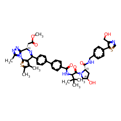 COC(=O)C[C@@H]1N=C(c2ccc(-c3ccc(C(=O)NC(C(=O)N4C[C@H](O)C[C@H]4C(=O)NCc4ccc(-c5scnc5CO)cc4)C(C)(C)C)cc3)cc2)c2c(sc(C)c2C)-n2c(C)nnc21